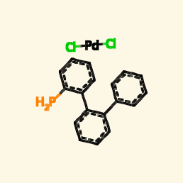 Pc1ccccc1-c1ccccc1-c1ccccc1.[Cl][Pd][Cl]